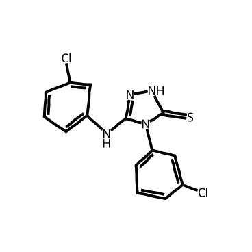 S=c1[nH]nc(Nc2cccc(Cl)c2)n1-c1cccc(Cl)c1